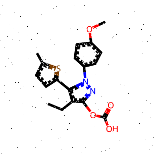 CCc1c(OC(=O)O)nn(-c2ccc(OC)cc2)c1-c1ccc(C)s1